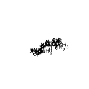 CCC(C)C1CC(Nc2cncc(-n3cc(-c4cc(C(=O)NC5CC5)c(F)cc4C)cn3)c2)CC(C)N1C1COC1